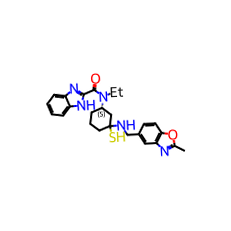 CCN(C(=O)c1nc2ccccc2[nH]1)[C@H]1CCCC(S)(NCc2ccc3oc(C)nc3c2)C1